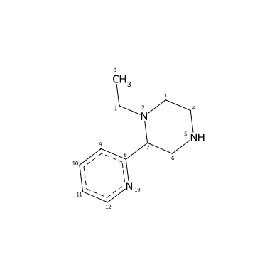 C[CH]N1CCNCC1c1ccccn1